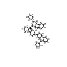 c1ccc(-c2cc(-n3c4ccccc4c4ccc(-c5ccc6c7ccccc7n(-c7ccccc7)c6c5)cc43)c3oc4ccccc4c3c2)cc1